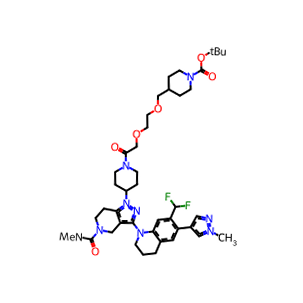 CNC(=O)N1CCc2c(c(N3CCCc4cc(-c5cnn(C)c5)c(C(F)F)cc43)nn2C2CCN(C(=O)COCCOCC3CCN(C(=O)OC(C)(C)C)CC3)CC2)C1